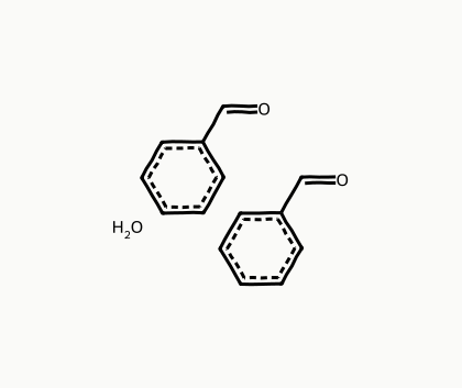 O.O=Cc1ccccc1.O=Cc1ccccc1